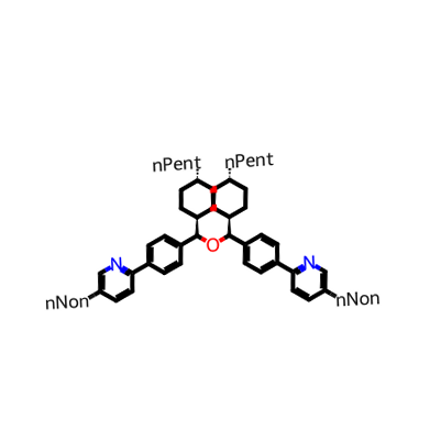 CCCCCCCCCc1ccc(-c2ccc(C(OC(c3ccc(-c4ccc(CCCCCCCCC)cn4)cc3)[C@H]3CC[C@H](CCCCC)CC3)[C@H]3CC[C@H](CCCCC)CC3)cc2)nc1